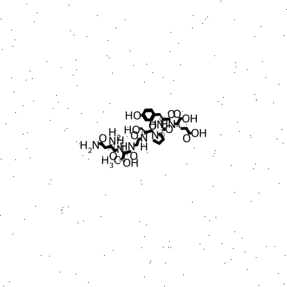 C[C@@H](O)[C@H](NC(=O)[C@@H](N)CC(N)=O)C(=O)NCC(=O)N[C@@H](CO)C(=O)N1CCC[C@H]1C(=O)N[C@@H](Cc1ccc(O)cc1)C(=O)N[C@@H](CCC(=O)O)C(=O)O